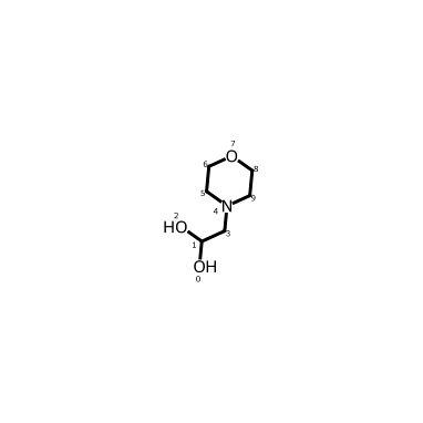 OC(O)CN1CCOCC1